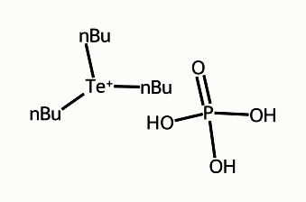 CCCC[Te+](CCCC)CCCC.O=P(O)(O)O